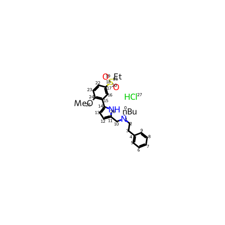 CCCCN(CCc1ccccc1)Cc1ccc(-c2cc(S(=O)(=O)CC)ccc2OC)[nH]1.Cl